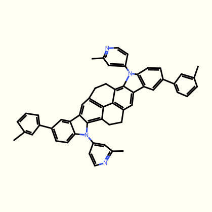 Cc1cccc(-c2ccc3c(c2)c2cc4c5c(c2n3-c2ccnc(C)c2)CCc2cc3c6cc(-c7cccc(C)c7)ccc6n(-c6ccnc(C)c6)c3c(c2-5)CC4)c1